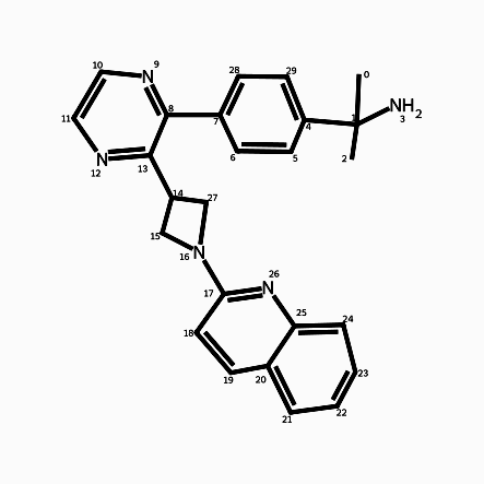 CC(C)(N)c1ccc(-c2nccnc2C2CN(c3ccc4ccccc4n3)C2)cc1